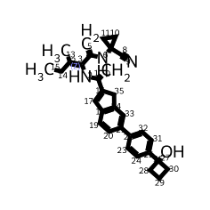 C=C(N/C(C(=C)NC1(C#N)CC1)=C(/C)CC)C1=Cc2ccc(-c3ccc(C4(O)CCC4)cc3)cc2C1